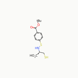 CC(C)(C)OC(=O)c1ccc(SN[C@@H](CS)C(=O)O)cc1